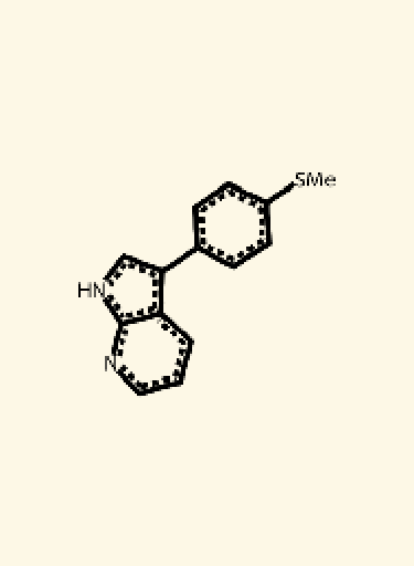 CSc1ccc(-c2c[nH]c3ncccc23)cc1